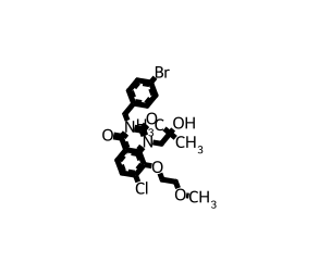 COCCOc1c(Cl)ccc2c(=O)n(Cc3ccc(Br)cc3)c(=O)n(CC(C)(C)O)c12